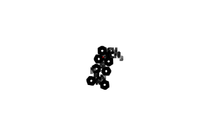 C[Si]1(C)c2ccccc2Sc2c1cccc2[Si](c1ccccc1)(c1ccccc1)c1ccnc(-n2c3ccccc3n3c4ccccc4nc23)c1